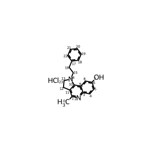 Cc1nc2ccc(O)cc2c2c1CCN2CCc1ccccc1.Cl